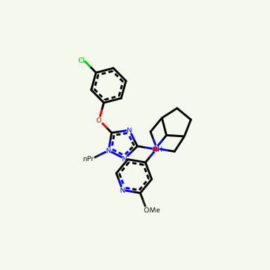 CCCn1nc(NC2C3CCC2CN(c2ccnc(OC)c2)C3)nc1Oc1cccc(Cl)c1